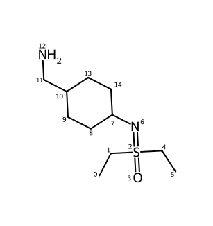 CCS(=O)(CC)=NC1CCC(CN)CC1